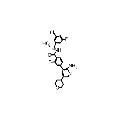 Nc1ncc(C2CCOCC2)cc1-c1ccc(C(=O)N[C@H](CO)c2cc(F)cc(Cl)c2)c(F)c1